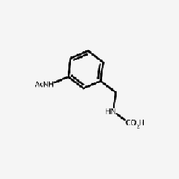 CC(=O)Nc1cccc(CNC(=O)O)c1